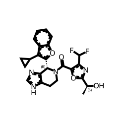 C[C@H](O)c1nc(C(F)F)c(C(=O)N2CCc3[nH]cnc3[C@@H]2c2oc3ccccc3c2C2CC2)o1